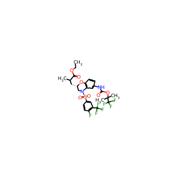 CCOC(=O)C(C)C[C@H]1CN(S(=O)(=O)c2ccc(F)c(C(F)(F)F)c2)c2cc(NC(=O)OC(C)(C)C(F)(F)F)ccc2O1